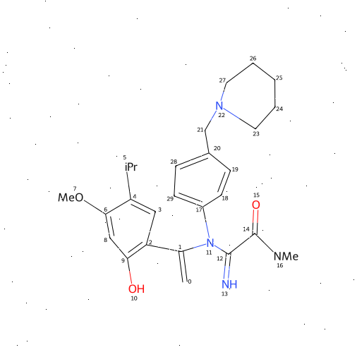 C=C(c1cc(C(C)C)c(OC)cc1O)N(C(=N)C(=O)NC)c1ccc(CN2CCCCC2)cc1